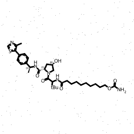 Cc1ncsc1-c1ccc([C@H](C)NC(=O)[C@@H]2C[C@@H](O)CN2C(=O)C(NC(=O)CCCCCCCCCOC(N)=O)C(C)(C)C)cc1